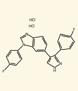 Cl.Cl.Fc1ccc(-c2n[nH]cc2-c2ccc3ncn(-c4ccc(F)cc4)c3c2)cc1